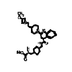 COC1CN(CCC2CCN(c3cc(C(=O)NCC4CCC(CNC(=O)O)CC4)c4ccccc4n3)CC2)C1